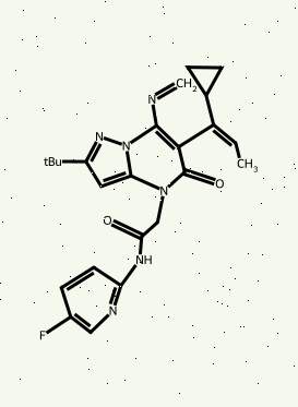 C=Nc1c(/C(=C\C)C2CC2)c(=O)n(CC(=O)Nc2ccc(F)cn2)c2cc(C(C)(C)C)nn12